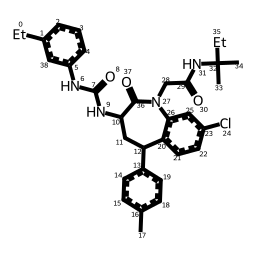 CCc1cccc(NC(=O)NC2CC(c3ccc(C)cc3)c3ccc(Cl)cc3N(CC(=O)NC(C)(C)CC)C2=O)c1